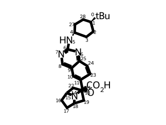 CC(C)(C)[C@H]1CC[C@H](Nc2ncc3cc(C(=O)N4C5CCC4CC(C(=O)O)C5)ccc3n2)CC1